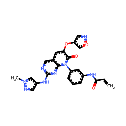 C=CC(=O)Nc1cccc(-n2c(=O)c(Oc3cnoc3)cc3cnc(Nc4cnn(C)c4)nc32)c1